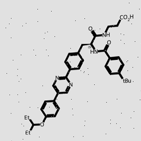 CCC(CC)Oc1ccc(-c2cnc(-c3ccc(C[C@H](NC(=O)c4ccc(C(C)(C)C)cc4)C(=O)NCCC(=O)O)cc3)nc2)cc1